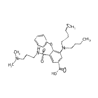 CCCCN(CCCC)c1cc(C(=O)O)cc(S(=O)(=O)NCCCN(C)C)c1Oc1ccccc1